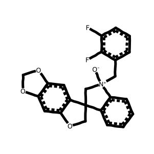 [O-][N+]1(Cc2cccc(F)c2F)CC2(COc3cc4c(cc32)OCO4)c2ccccc21